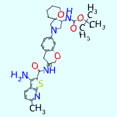 Cc1ccc2c(N)c(C(=O)N[C@H]3COc4cc(N5CC(NC(=O)OC(C)(C)C)C6(CCCCO6)C5)ccc4C3)sc2n1